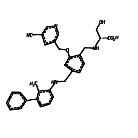 Cc1c(NCc2ccc(CN[C@H](CO)C(=O)O)c(OCc3cncc(C#N)c3)c2)cccc1-c1ccccc1